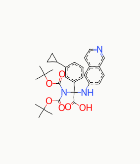 CC(C)(C)OC(=O)N(C(=O)OC(C)(C)C)C(Nc1ccc2cnccc2c1)(C(=O)O)c1cccc(C2CC2)c1